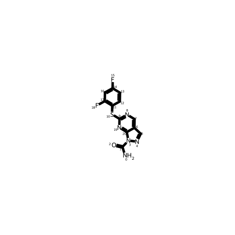 NC(=O)n1n[c]c2cnc(Sc3ccc(F)cc3F)nc21